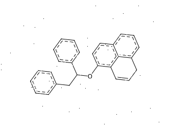 C1=Cc2c(OC(Cc3ccccc3)c3ccccc3)ccc3cccc(c23)C1